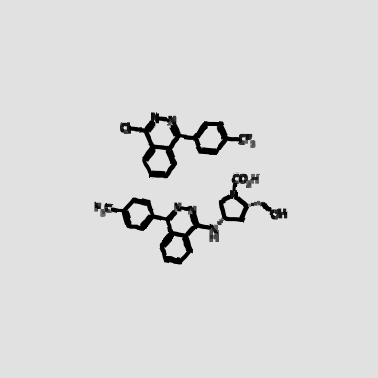 FC(F)(F)c1ccc(-c2nnc(Cl)c3ccccc23)cc1.O=C(O)N1C[C@@H](Nc2nnc(-c3ccc(C(F)(F)F)cc3)c3ccccc23)C[C@H]1CO